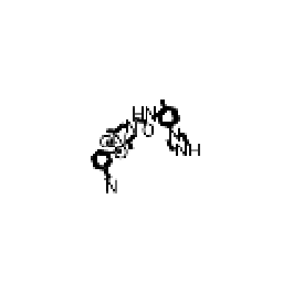 Cc1ccc(N2CCNCC2)cc1NC(=O)CN1CC(C)N(S(=O)(=O)c2cccc(C#N)c2)C(C)C1